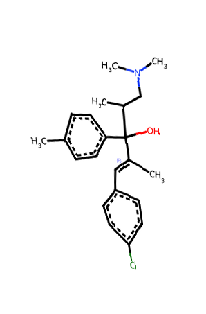 C/C(=C\c1ccc(Cl)cc1)C(O)(c1ccc(C)cc1)C(C)CN(C)C